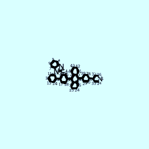 CCc1nc2ccccc2n1-c1ccccc1-c1ccc(-c2c3ccccc3c(-c3ccc(-c4ccncc4)cc3)c3ccccc23)cc1